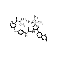 CC(C)Nc1cc(Oc2ccc(NC(=O)Nc3cn(C(C)(C)C)nc3-c3ccc4cnccc4c3)cc2)ccn1